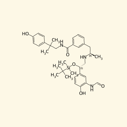 C[C@H](Cc1cccc(C(=O)NCC(C)(C)c2ccc(O)cc2)c1)NC[C@@H](O[Si](C)(C)C(C)(C)C)c1ccc(O)c(NC=O)c1